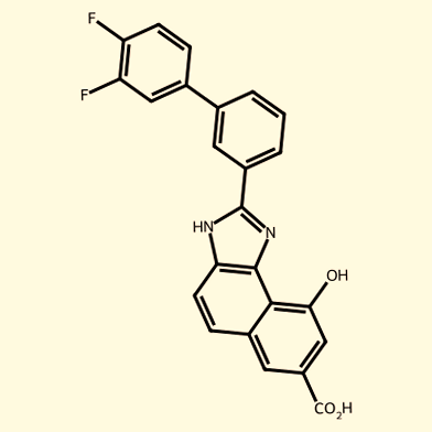 O=C(O)c1cc(O)c2c(ccc3[nH]c(-c4cccc(-c5ccc(F)c(F)c5)c4)nc32)c1